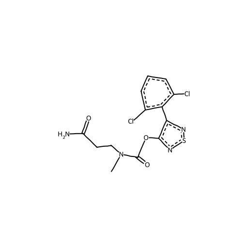 CN(CCC(N)=O)C(=O)Oc1nsnc1-c1c(Cl)cccc1Cl